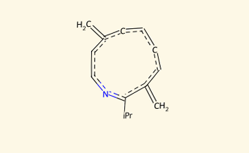 C=c1ccccc(=C)c(C(C)C)ncc1